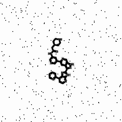 O=C(CC1CCNCC1)Nc1cncc(-c2cc3c(-c4nc5c(-c6ccccn6)ccnc5[nH]4)n[nH]c3cn2)c1